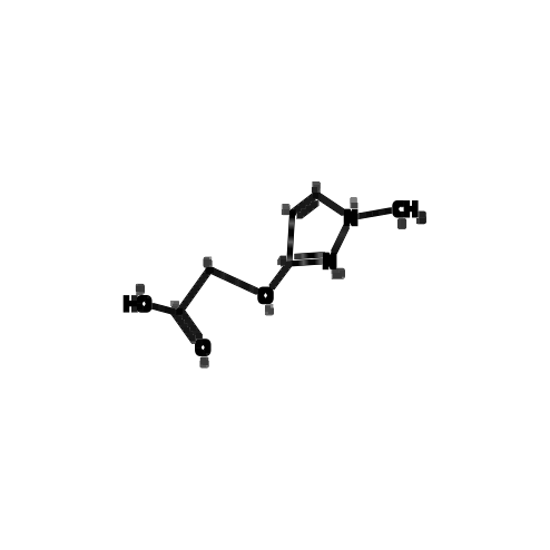 Cn1ccc(OCC(=O)O)n1